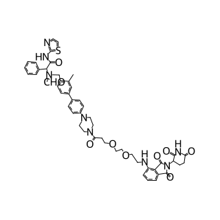 Cc1cc(-c2ccc(N3CCN(C(=O)CCOCCOCCNc4cccc5c4C(=O)N(C4CCC(=O)NC4=O)C5=O)CC3)cc2)ccc1CN(C=O)C(C(=O)Nc1nccs1)c1ccccc1